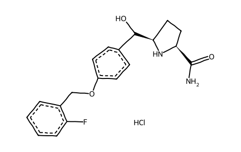 Cl.NC(=O)[C@@H]1CC[C@H](C(O)c2ccc(OCc3ccccc3F)cc2)N1